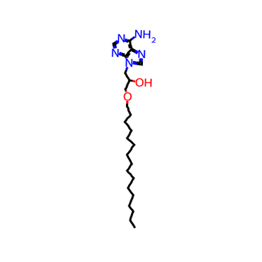 CCCCCCCCCCCCCCCCOCC(O)Cn1cnc2c(N)ncnc21